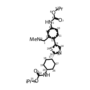 CNCc1cc(NC(=O)OC(C)C)ccc1-c1cnc([C@H]2CC[C@H](NC(=O)OC(C)C)CC2)s1